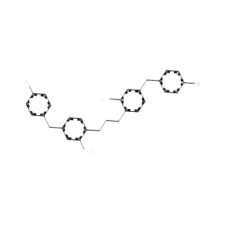 CCCCc1cc(Cc2ccc(N)cc2)ccc1CCCc1ccc(Cc2ccc(N)cc2)cc1CCCC